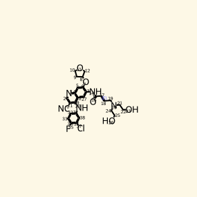 N#Cc1cnc2cc(OC3CCOC3)c(NC(=O)/C=C/CN(CCO)CCO)cc2c1Nc1ccc(F)c(Cl)c1